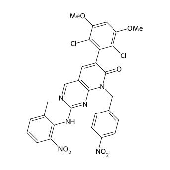 COc1cc(OC)c(Cl)c(-c2cc3cnc(Nc4c(C)cccc4[N+](=O)[O-])nc3n(Cc3ccc([N+](=O)[O-])cc3)c2=O)c1Cl